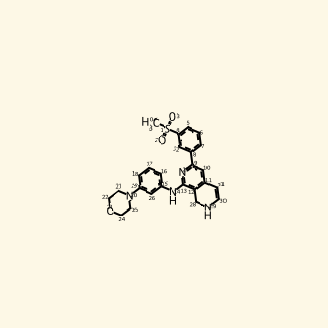 CS(=O)(=O)c1cccc(-c2cc3c(c(Nc4cccc(N5CCOCC5)c4)n2)CNC=C3)c1